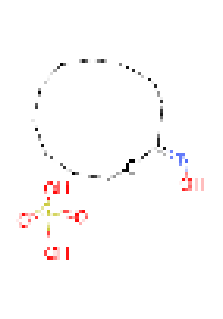 O=S(=O)(O)O.ON=C1CCCCCCCCCCC1